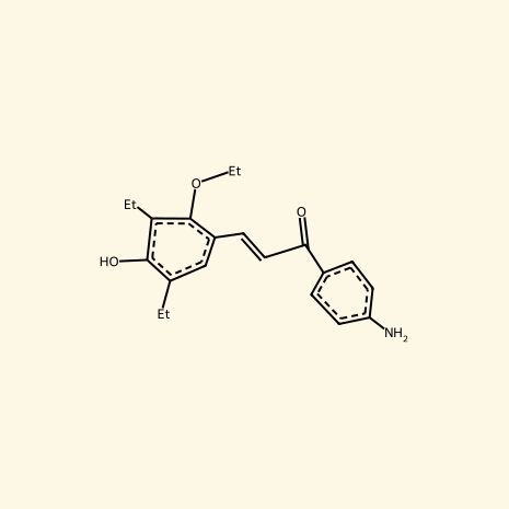 CCOc1c(C=CC(=O)c2ccc(N)cc2)cc(CC)c(O)c1CC